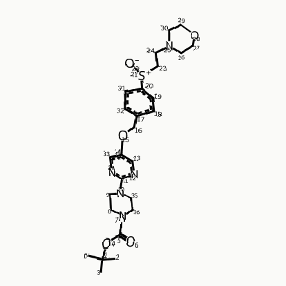 CC(C)(C)OC(=O)N1CCN(c2ncc(OCc3ccc([S+]([O-])CCN4CCOCC4)cc3)cn2)CC1